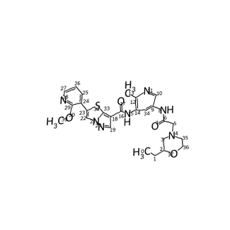 CCC1CN(CC(=O)Nc2cnc(C)c(NC(=O)c3cnn4cc(-c5cccnc5OC)sc34)c2)CCO1